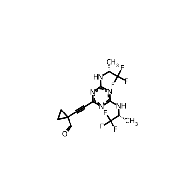 C[C@@H](Nc1nc(C#CC2(C=O)CC2)nc(N[C@H](C)C(F)(F)F)n1)C(F)(F)F